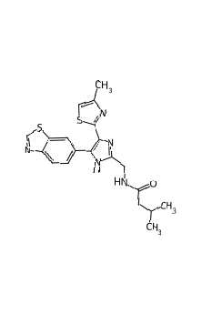 Cc1csc(-c2nc(CNC(=O)CC(C)C)[nH]c2-c2ccc3ncsc3c2)n1